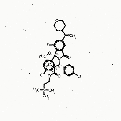 C=C(c1cc(F)c2c(c1)C(=O)N([C@H](c1ccc(Cl)cc1)[C@H](C)C(=O)OCC[Si](C)(C)C)[C@@]2(OC)c1ccc(Cl)cc1)C1CCOCC1